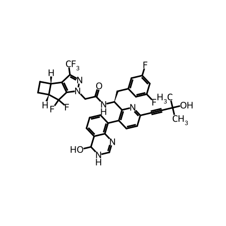 CC(C)(O)C#Cc1ccc(-c2cccc3c2N=CNC3O)c([C@H](Cc2cc(F)cc(F)c2)NC(=O)Cn2nc(C(F)(F)F)c3c2C(F)(F)[C@@H]2CC[C@H]32)n1